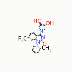 Cc1ccccc1-n1c(=O)nc(N2C[C@@H](O)[C@H](O)C2)c2ccc(C(F)(F)F)cc21